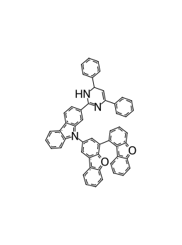 C1=C(c2ccccc2)N=C(c2ccc3c4ccccc4n(-c4cc(-c5cccc6oc7ccccc7c56)c5oc6ccccc6c5c4)c3c2)NC1c1ccccc1